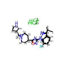 CC(C)c1nn(-c2noc(C3CCN(C[C@H]4CCNC4)CC3)n2)c2c(F)cccc12.Cl.Cl